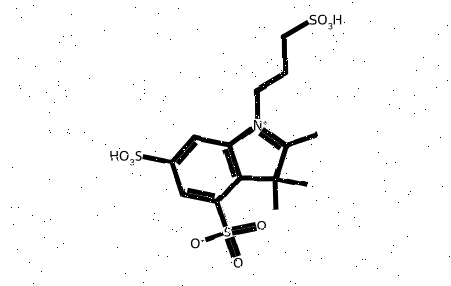 CC1=[N+](CCCS(=O)(=O)O)c2cc(S(=O)(=O)O)cc(S(=O)(=O)[O-])c2C1(C)C